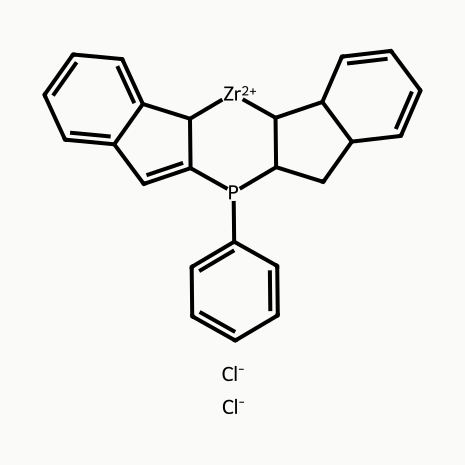 C1=CC2CC3[CH]([Zr+2][CH]4C(=Cc5ccccc54)P3c3ccccc3)C2C=C1.[Cl-].[Cl-]